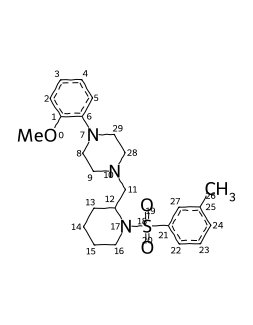 COc1ccccc1N1CCN(CC2CCCCN2S(=O)(=O)c2cccc(C)c2)CC1